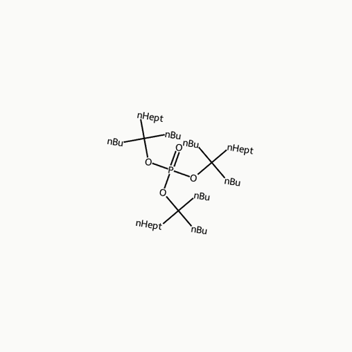 CCCCCCCC(CCCC)(CCCC)OP(=O)(OC(CCCC)(CCCC)CCCCCCC)OC(CCCC)(CCCC)CCCCCCC